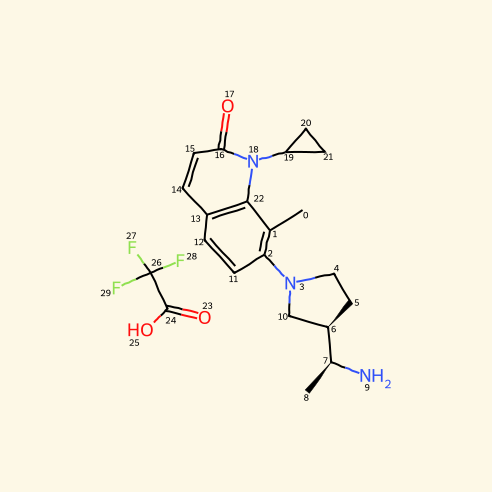 Cc1c(N2CC[C@@H]([C@H](C)N)C2)ccc2ccc(=O)n(C3CC3)c12.O=C(O)C(F)(F)F